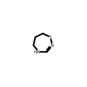 C1=NSCCCN1